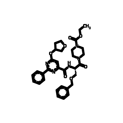 CCOC(=O)N1CCN(C(=O)[C@H](COCc2ccccc2)NC(=O)c2cc(OC3CCOC3)nc(-c3ccccc3)n2)CC1